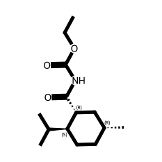 CCOC(=O)NC(=O)[C@@H]1C[C@H](C)CC[C@H]1C(C)C